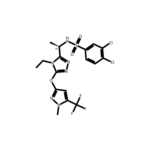 CCn1c(Oc2cc(C(F)(F)F)n(C)n2)nnc1[C@@H](C)NS(=O)(=O)c1ccc(Cl)c(Cl)c1